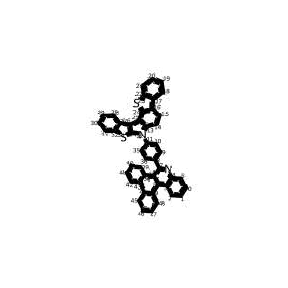 c1ccc2c(c1)nc(-c1ccc(-n3c4ccc5c6ccccc6sc5c4c4c5ccccc5sc43)cc1)c1c3ccccc3c3ccccc3c21